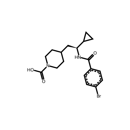 O=C(N[C@@H](CC1CCN(C(=O)O)CC1)C1CC1)c1ccc(Br)cc1